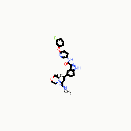 C=N/C=C(\C=C(/C)c1ccc2[nH]nc(C(=O)Nc3ccc(Oc4cccc(F)c4)nc3)c2c1)N1CCOCC1